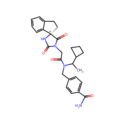 CC(C1CCC1)N(Cc1ccc(C(N)=O)cc1)C(=O)CN1C(=O)N[C@]2(CCc3ccccc32)C1=O